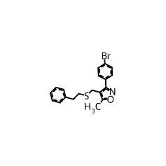 Cc1onc(-c2ccc(Br)cc2)c1CSCCc1ccccc1